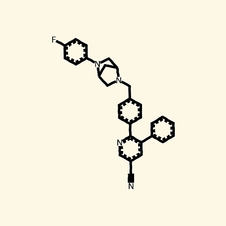 N#Cc1cnc(-c2ccc(CN3CC4CC3CN4c3ccc(F)cc3)cc2)c(-c2ccccc2)c1